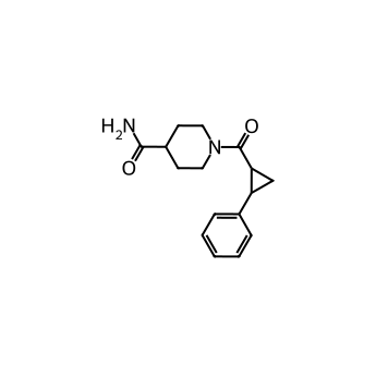 NC(=O)C1CCN(C(=O)C2CC2c2ccccc2)CC1